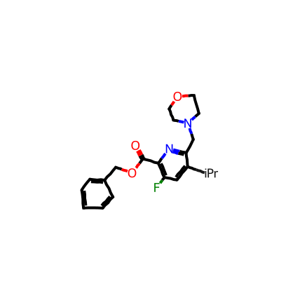 CC(C)c1cc(F)c(C(=O)OCc2ccccc2)nc1CN1CCOCC1